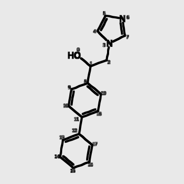 OC(Cn1ccnc1)c1ccc(-c2ccccc2)cc1